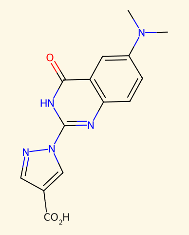 CN(C)c1ccc2nc(-n3cc(C(=O)O)cn3)[nH]c(=O)c2c1